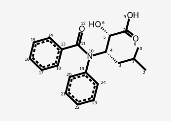 CC(C)C[C@@H]([C@H](O)C(=O)O)N(C(=O)c1ccccc1)c1ccccc1